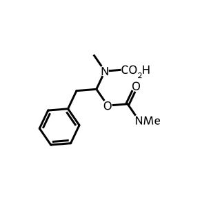 CNC(=O)OC(Cc1ccccc1)N(C)C(=O)O